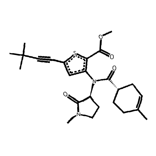 COC(=O)c1sc(C#CC(C)(C)C)cc1N(C(=O)[C@@H]1CC=C(C)CC1)[C@H]1CCN(C)C1=O